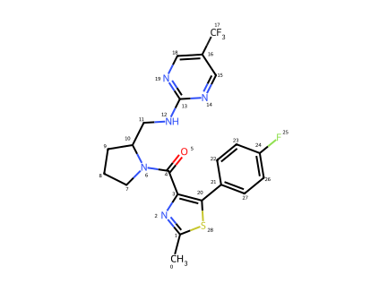 Cc1nc(C(=O)N2CCCC2CNc2ncc(C(F)(F)F)cn2)c(-c2ccc(F)cc2)s1